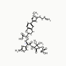 C[n+]1cc(-c2ccc3c(c2)CCC([C@@H](O/N=C(\C(=O)NC2C(=O)N(OS(=O)(=O)O)C2(C)C)c2csc(N)n2)C(=O)O)O3)cn1CCCN